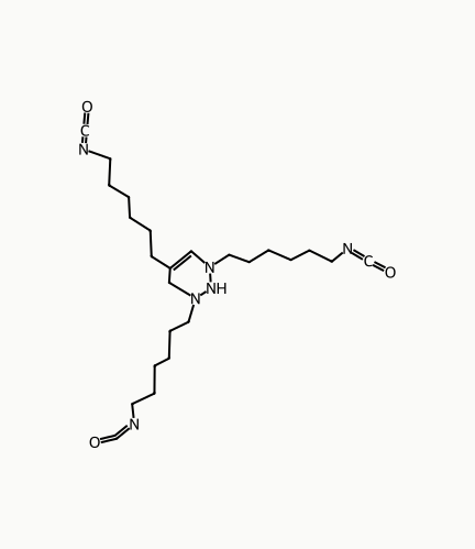 O=C=NCCCCCCC1=CN(CCCCCCN=C=O)NN(CCCCCCN=C=O)C1